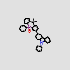 CC1(C)c2ccccc2P(=O)(c2ccccc2)c2cc(-c3ccc4c(c3)c3ccccc3n4-c3ccccc3)ccc21